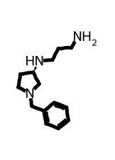 NCCCN[C@H]1CCN(Cc2ccccc2)C1